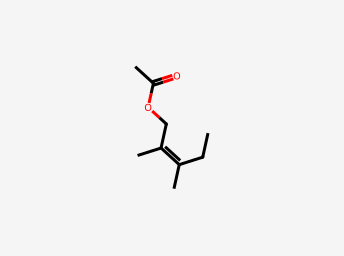 CCC(C)=C(C)COC(C)=O